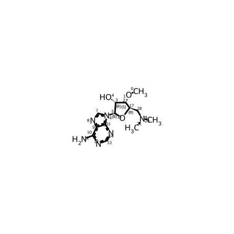 CO[C@H]1[C@@H](O)[C@H](n2cnc3c(N)ncnc32)O[C@@H]1CN(C)C